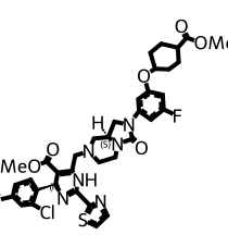 COC(=O)C1=C(CN2CCN3C(=O)N(c4cc(F)cc(OC5CCC(C(=O)OC)CC5)c4)C[C@@H]3C2)NC(c2nccs2)=N[C@H]1c1ccc(F)cc1Cl